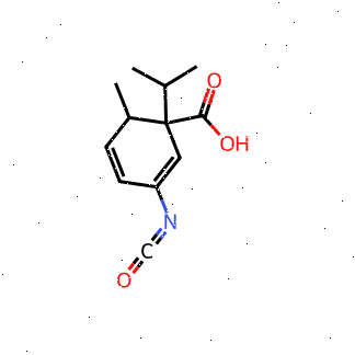 CC(C)C1(C(=O)O)C=C(N=C=O)C=CC1C